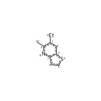 CCc1cc2sccc2nc1C